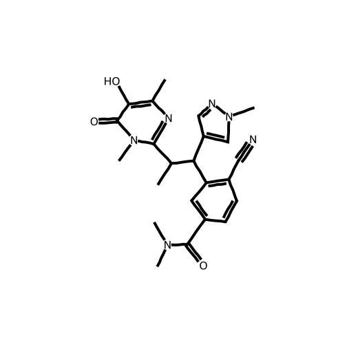 Cc1nc(C(C)C(c2cnn(C)c2)c2cc(C(=O)N(C)C)ccc2C#N)n(C)c(=O)c1O